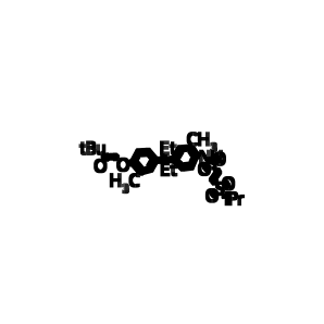 CCC(CC)(c1ccc(NS(=O)(=O)CCS(=O)(=O)C(C)C)c(C)c1)c1ccc(OCC(=O)C(C)(C)C)c(C)c1